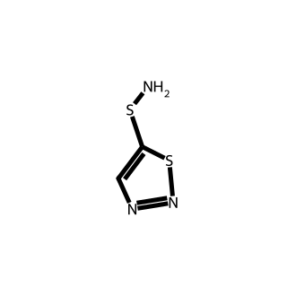 NSc1cnns1